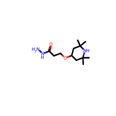 CC1(C)CC(OCCC(=O)NN)CC(C)(C)N1